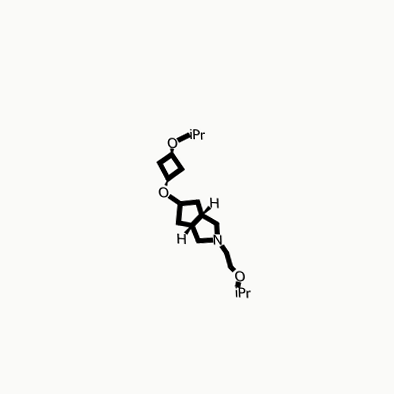 CC(C)OCCN1C[C@H]2CC(O[C@H]3C[C@H](OC(C)C)C3)C[C@H]2C1